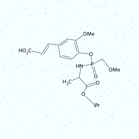 COCP(=O)(NC(C)C(=O)OC(C)C)Oc1ccc(/C=C/C(=O)O)cc1OC